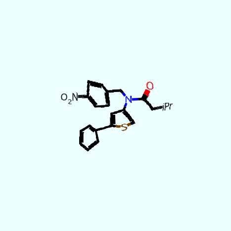 CC(C)CC(=O)N(Cc1ccc([N+](=O)[O-])cc1)c1csc(-c2ccccc2)c1